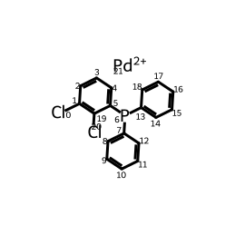 Clc1cccc(P(c2ccccc2)c2ccccc2)c1Cl.[Pd+2]